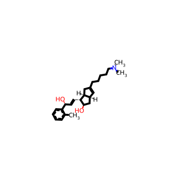 Cc1ccccc1[C@H](O)/C=C/[C@@H]1[C@H]2CC(CCCCCN(C)C)=C[C@H]2C[C@H]1O